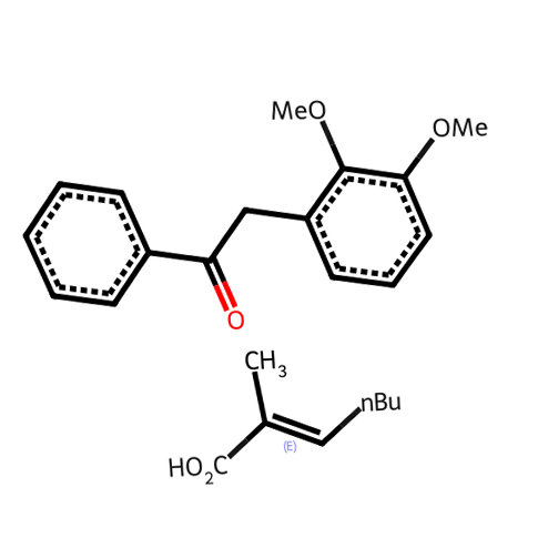 CCCC/C=C(\C)C(=O)O.COc1cccc(CC(=O)c2ccccc2)c1OC